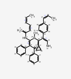 C=C(/C=C\C=C/C)N/C(=C(/C(=C)c1ccccc1)c1ccccc1)N(C)C(=C1CC1)/C(=C\N)c1ccc(/C=C\C)cc1